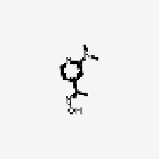 C/C(=N\O)c1ccnc(N(C)C)c1